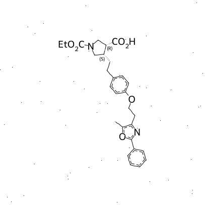 CCOC(=O)N1C[C@@H](CCc2ccc(OCCc3nc(-c4ccccc4)oc3C)cc2)[C@@H](C(=O)O)C1